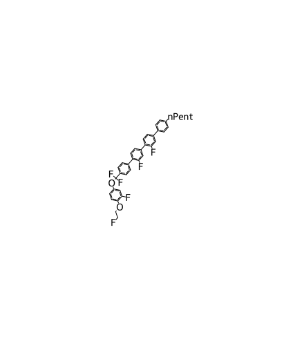 CCCCCc1ccc(-c2ccc(-c3ccc(-c4ccc(C(F)(F)Oc5ccc(OCCF)c(F)c5)cc4)c(F)c3)c(F)c2)cc1